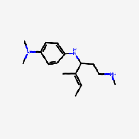 C/C=C(\C)C(CCNC)Nc1ccc(N(C)C)cc1